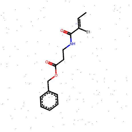 C/C=C(\CC)C(=O)NCCC(=O)OCc1ccccc1